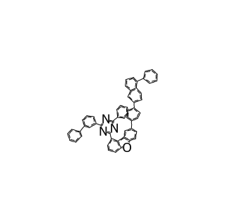 c1ccc(-c2cccc(-c3nc(-c4ccccc4)nc(-c4cccc5oc6ccc(-c7ccc(-c8ccc9c(-c%10ccccc%10)cccc9c8)cc7)cc6c45)n3)c2)cc1